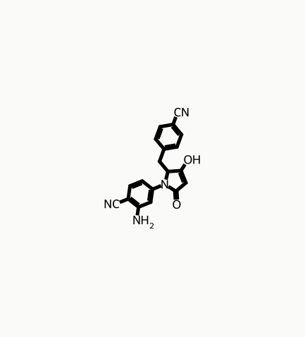 N#Cc1ccc(CC2C(O)=CC(=O)N2c2ccc(C#N)c(N)c2)cc1